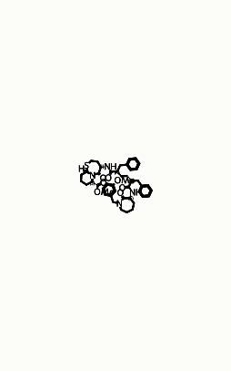 COC(=O)[C@@H]1CCC[C@@H]2SCC[C@H](NC(=O)[C@H](CC[C@H](Cc3ccccc3)C(=O)N[C@H]3CCCCN(Cc4cccc(OC)c4)C3=O)Cc3ccccc3)C(=O)N21